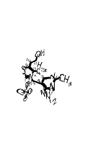 Cc1ncc(C[n+]2csc(CCO)c2C)c(N)n1.O=S(=O)([O-])O